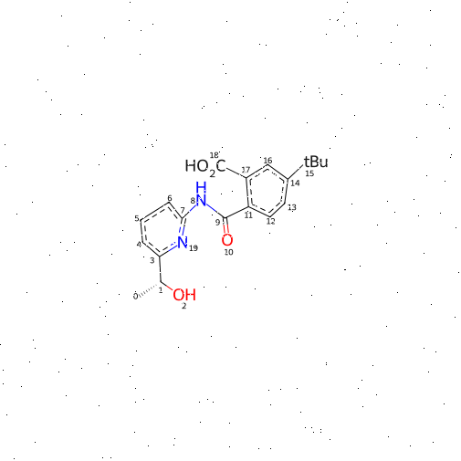 C[C@@H](O)c1cccc(NC(=O)c2ccc(C(C)(C)C)cc2C(=O)O)n1